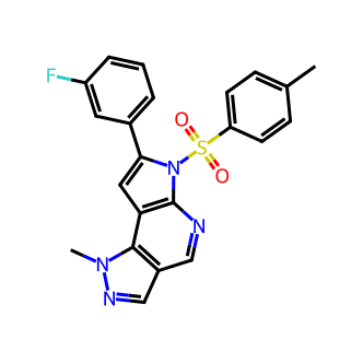 Cc1ccc(S(=O)(=O)n2c(-c3cccc(F)c3)cc3c4c(cnc32)cnn4C)cc1